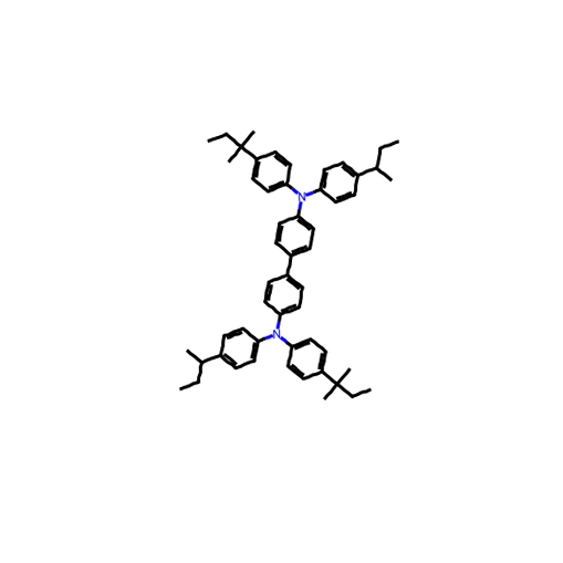 CCC(C)c1ccc(N(c2ccc(-c3ccc(N(c4ccc(C(C)CC)cc4)c4ccc(C(C)(C)CC)cc4)cc3)cc2)c2ccc(C(C)(C)CC)cc2)cc1